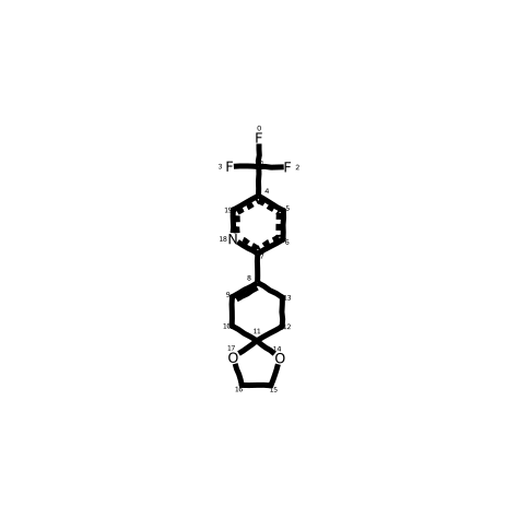 FC(F)(F)c1ccc(C2=CCC3(CC2)OCCO3)nc1